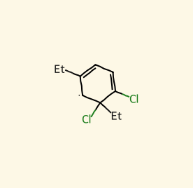 CCC1=CC=C(Cl)C(Cl)(CC)[CH]1